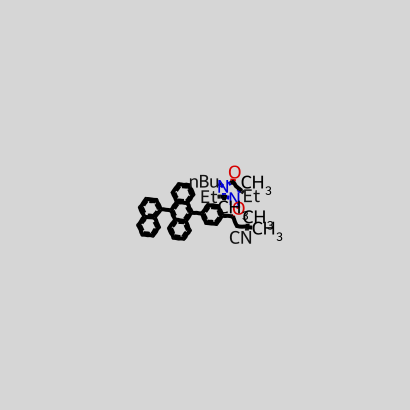 CCCCN1C(=O)C(C)(CC)N(OC(CC(C)(C)C#N)c2ccc(-c3c4ccccc4c(-c4cccc5ccccc45)c4ccccc34)cc2)C1(C)CC